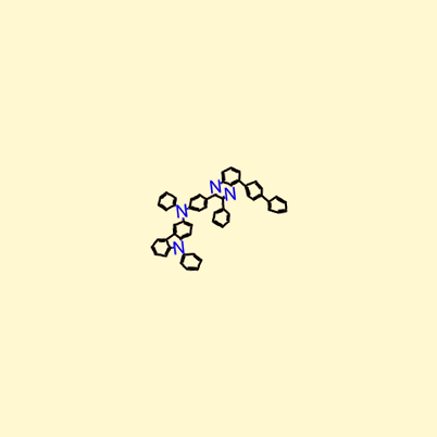 c1ccc(-c2ccc(-c3cccc4nc(-c5ccc(N(c6ccccc6)c6ccc7c(c6)c6ccccc6n7-c6ccccc6)cc5)c(-c5ccccc5)nc34)cc2)cc1